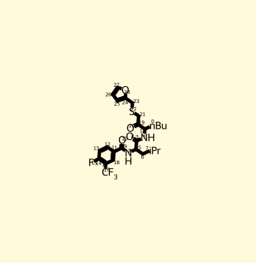 CCCCC(NC(=O)C(CC(C)C)NC(=O)c1ccc(F)c(C(F)(F)F)c1)C(=O)CSCc1ccco1